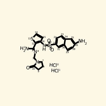 Cl.Cl.NC(=NCN1CCCC1=O)c1sccc1NS(=O)(=O)c1ccc2cc(N)ccc2c1